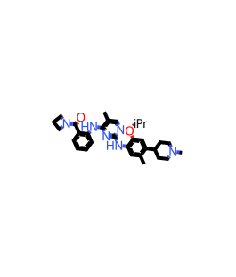 Cc1cc(Nc2ncc(C)c(Nc3ccccc3C(=O)N3CCC3)n2)c(OC(C)C)cc1C1CCN(C)CC1